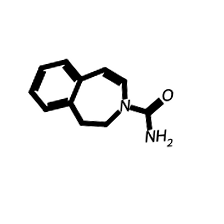 NC(=O)N1C=Cc2ccccc2CC1